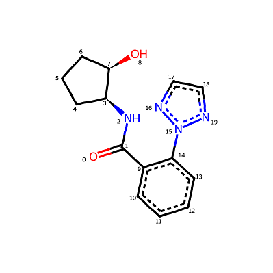 O=C(N[C@H]1CCC[C@H]1O)c1ccccc1-n1nccn1